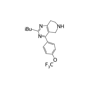 CCC(C)c1nc2c(c(-c3ccc(OC(F)(F)F)cc3)n1)CNCC2